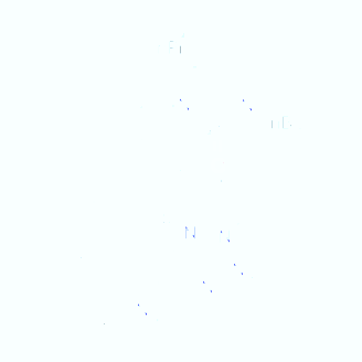 CCCCn1cc(CCC)n(Cc2ccc(-c3cccnc3-c3nnn[nH]3)cc2)c1=O